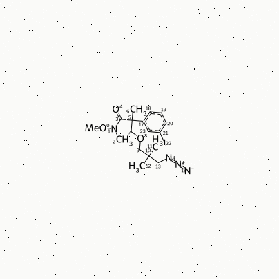 CON(C)C(=O)C(C)(COCC(C)(C)CN=[N+]=[N-])c1cccc(I)c1